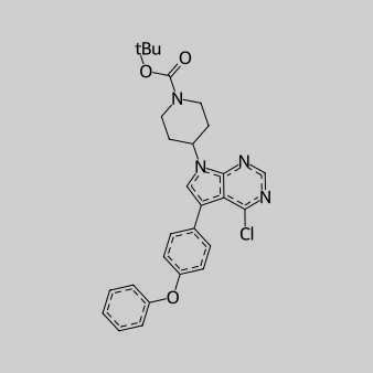 CC(C)(C)OC(=O)N1CCC(n2cc(-c3ccc(Oc4ccccc4)cc3)c3c(Cl)ncnc32)CC1